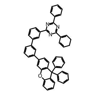 C1=CC(c2nc(-c3ccccc3)nc(-c3cccc(-c4cccc(-c5ccc6c(c5)Oc5ccccc5C6(c5ccccc5)c5ccccc5)c4)c3)n2)=CCC1